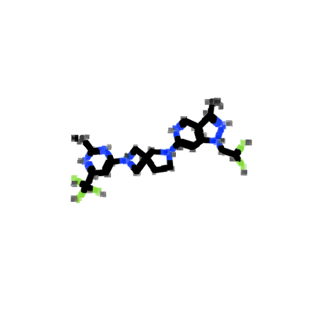 Cc1nc(N2CC3(CCN(c4cc5c(cn4)c(C)nn5CC(F)F)C3)C2)cc(C(F)(F)F)n1